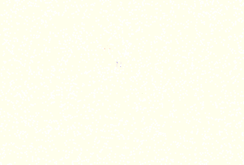 O/N=C/C(F)Cl